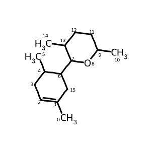 CC1=CCC(C)C(C2OC(C)CCC2C)C1